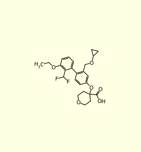 CCOc1cccc(-c2ccc(OC3(C(=O)O)CCOCC3)cc2COC2CC2)c1C(F)F